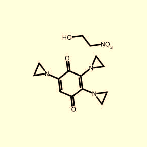 O=C1C=C(N2CC2)C(=O)C(N2CC2)=C1N1CC1.O=[N+]([O-])CCO